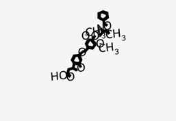 COc1cc(COc2ccc3c(c2)OCC3CC(=O)O)cc(OC)c1OCc1nc(-c2ccccc2)oc1C